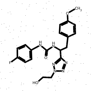 COc1ccc(CC(NC(=O)Nc2ccc(F)cc2)c2nnn(CCO)n2)cc1